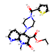 CCOC(=O)c1c(N2CCN(C(=O)c3cccs3)CC2)c2cccnc2n(C)c1=O